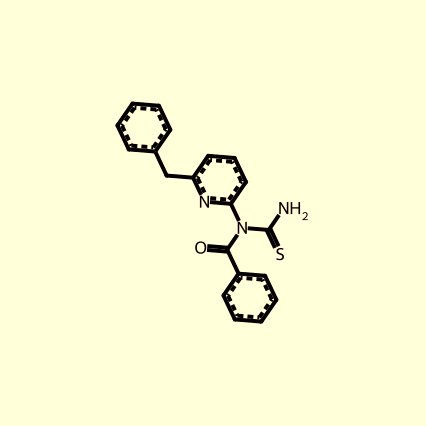 NC(=S)N(C(=O)c1ccccc1)c1cccc(Cc2ccccc2)n1